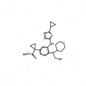 COC(=O)C1(c2ccc(N(CC(C)C)C3CCOCC3)c(Nc3nnc(C4CC4)s3)c2)CC1